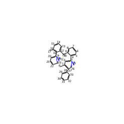 Cc1cc(-c2ccccc2[C@H](C)c2cccc(C)c2-c2ccccn2)ncc1-c1ccccc1